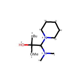 CCCCC(O)(OC)C(N(C)C)N1CCCCC1